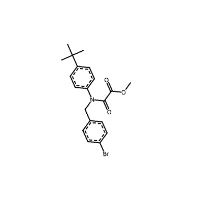 COC(=O)C(=O)N(Cc1ccc(Br)cc1)c1ccc(C(C)(C)C)cc1